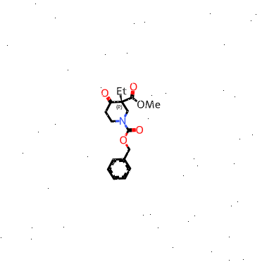 CC[C@@]1(C(=O)OC)CN(C(=O)OCc2ccccc2)CCC1=O